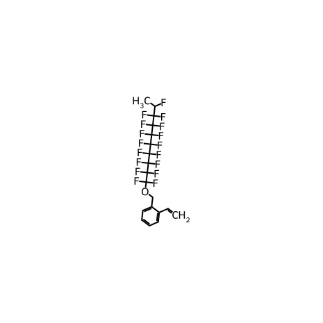 C=Cc1ccccc1COC(F)(F)C(F)(F)C(F)(F)C(F)(F)C(F)(F)C(F)(F)C(F)(F)C(F)(F)C(C)F